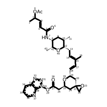 CC(=O)OC(C)C=CC(=O)N[C@@H]1C[C@H](C)[C@H](CC=C(C)C=C[C@@H]2C[C@]3(CO3)C[C@@H](CC(=O)On3nnc4cccnc43)O2)O[C@@H]1C